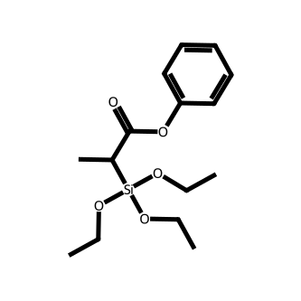 CCO[Si](OCC)(OCC)C(C)C(=O)Oc1ccccc1